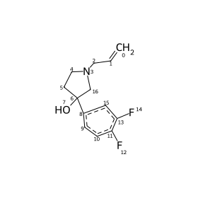 C=CCN1CCC(O)(c2ccc(F)c(F)c2)C1